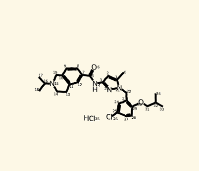 Cc1cc(NC(=O)c2ccc3c(c2)CCN(C(C)C)C3)nn1Cc1cc(Cl)ccc1OCC(C)C.Cl